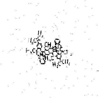 CC(C)c1cc(C(C)C)c2c(c1)C(C)c1c3c(cc4c5c6c(cc14)-c1c(sc4ccccc14)C=6c1c(C(C)C)cc(C(C)C)cc1C5C)-c1c(oc4ccccc14)C=32